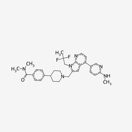 CNc1ccc(-c2ccnc3c2cc(CN2CCC(c4ccc(C(=O)N(C)C)cc4)CC2)n3CC(C)(F)F)cn1